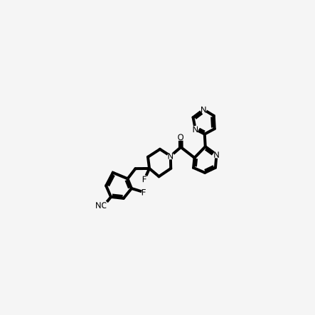 N#Cc1ccc(CC2(F)CCN(C(=O)c3cccnc3-c3ccncn3)CC2)c(F)c1